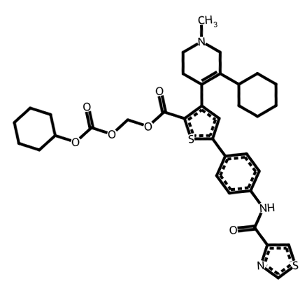 CN1CCC(c2cc(-c3ccc(NC(=O)c4cscn4)cc3)sc2C(=O)OCOC(=O)OC2CCCCC2)=C(C2CCCCC2)C1